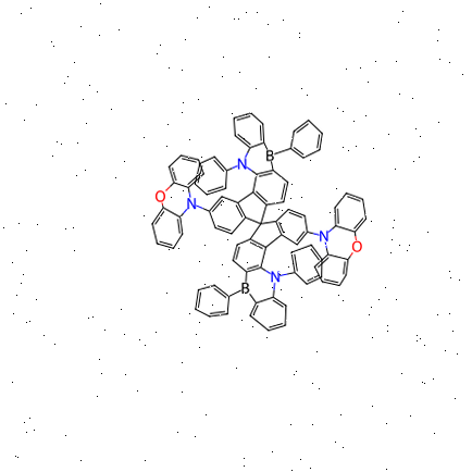 c1ccc(B2c3ccccc3N(c3ccccc3)c3c2ccc2c3-c3cc(N4c5ccccc5Oc5ccccc54)ccc3C23c2ccc(N4c5ccccc5Oc5ccccc54)cc2-c2c3ccc3c2N(c2ccccc2)c2ccccc2B3c2ccccc2)cc1